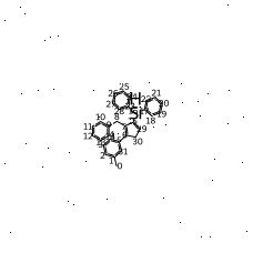 Cc1cccc(C2=C(Cc3ccccc3)C([SiH](c3ccccc3)c3ccccc3)=CC2)c1